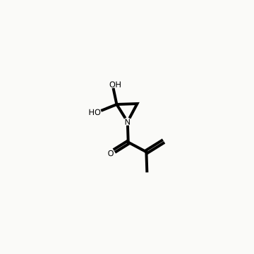 C=C(C)C(=O)N1CC1(O)O